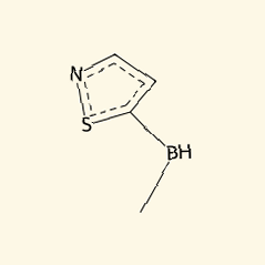 CBc1ccns1